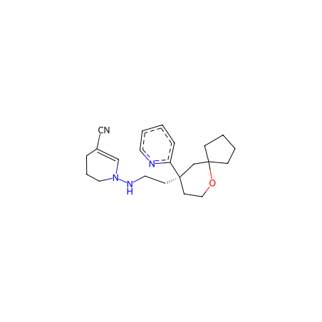 N#CC1=CN(NCC[C@@]2(c3ccccn3)CCOC3(CCCC3)C2)CCC1